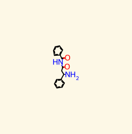 NC(CC(=O)NC(=O)c1ccccc1)c1ccccc1